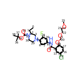 CCC1CN(c2ccc(NC(=O)c3cc(Cl)ccc3OCOCCOC)cc2F)CCN1C(=O)OC(C)(C)C